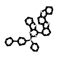 c1ccc(-c2ccc(N(c3ccccc3)c3nc(-c4cccc5oc6c(ccc7oc8ccccc8c76)c45)c4sc5ccccc5c4n3)cc2)cc1